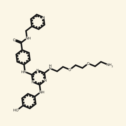 NCCOCCOCCNc1nc(Nc2ccc(O)cc2)nc(Nc2ccc(C(=O)NCc3ccncc3)cc2)n1